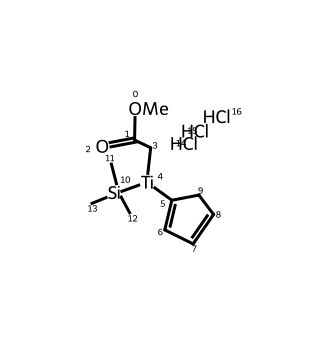 COC(=O)[CH2][Ti]([C]1=CC=CC1)[Si](C)(C)C.Cl.Cl.Cl